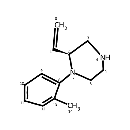 C=C[C@H]1CNCCN1c1ccccc1C